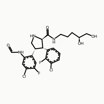 O=CNc1cc(Cl)c(F)cc1[C@@H]1CN[C@@H](C(=O)NCCC[C@H](O)CO)[C@@H]1c1cccc(Cl)c1F